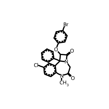 CN1C(=O)CN2C(=O)C(Oc3ccc(Br)cc3)C2(c2ccccc2)c2cc(Cl)ccc21